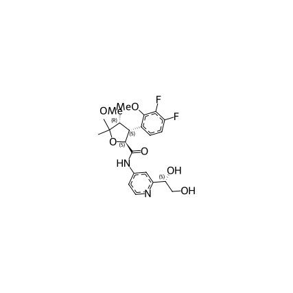 COc1c([C@@H]2[C@@H](C(=O)Nc3ccnc([C@H](O)CO)c3)OC(C)(C)[C@@H]2OC)ccc(F)c1F